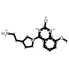 COc1cccc2c(N3CCC(CCN)C3)nc(Cl)nc12